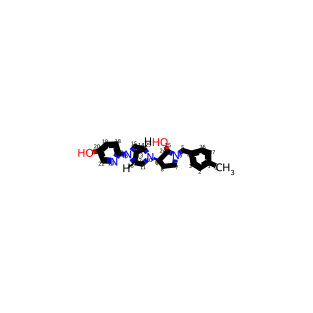 Cc1ccc(CN2CC[C@@H](N3C[C@@H]4C[C@H]3CN4c3ccc(O)cn3)C2O)cc1